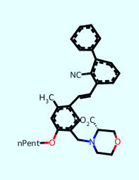 CCCCCOc1cc(C)c(/C=C/c2cccc(-c3ccccc3)c2C#N)cc1CN1CCOC[C@H]1C(=O)O